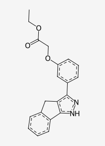 CCOC(=O)COc1cccc(-c2n[nH]c3c2Cc2ccccc2-3)c1